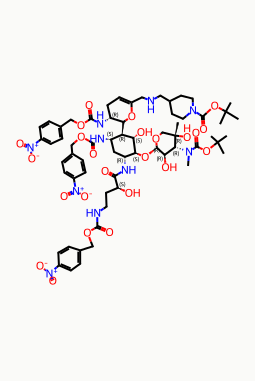 CN(C(=O)OC(C)(C)C)[C@@H]1[C@@H](O)[C@@H](O[C@@H]2[C@@H](O)[C@H](C3OC(CNCC4CCN(C(=O)OC(C)(C)C)CC4)=CC[C@H]3NC(=O)OCc3ccc([N+](=O)[O-])cc3)[C@@H](NC(=O)OCc3ccc([N+](=O)[O-])cc3)C[C@H]2NC(=O)[C@@H](O)CCNC(=O)OCc2ccc([N+](=O)[O-])cc2)OC[C@]1(C)O